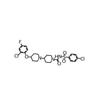 O=C(NS(=O)(=O)c1ccc(Cl)cc1)N1CCC(N2CCC(Oc3ccc(F)cc3Cl)CC2)CC1